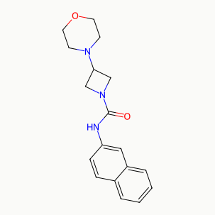 O=C(Nc1ccc2ccccc2c1)N1CC(N2CCOCC2)C1